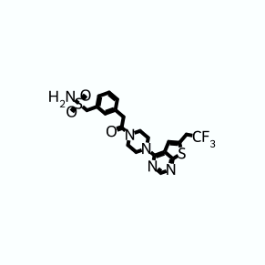 NS(=O)(=O)Cc1cccc(CC(=O)N2CCN(c3ncnc4sc(CC(F)(F)F)cc34)CC2)c1